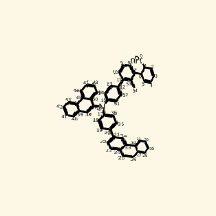 CCCC1C=CC=CC1c1cccc(-c2ccc(N(c3ccc(-c4ccc5ccc6ccccc6c5c4)cc3)c3cc4ccccc4c4ccccc34)cc2)c1C